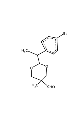 CCc1ccc(C(C)C2OCC(C)(C=O)CO2)cc1